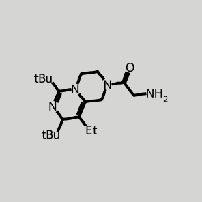 CCC1=C2CN(C(=O)CN)CCN2C(C(C)(C)C)=NC1C(C)(C)C